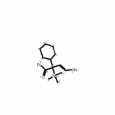 CCCC=CC(C(=O)CC)(C1CCCCC1)[Si](C)(C)C